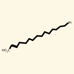 CC(C)CCCCCCCCCCCCC=CC(=O)O